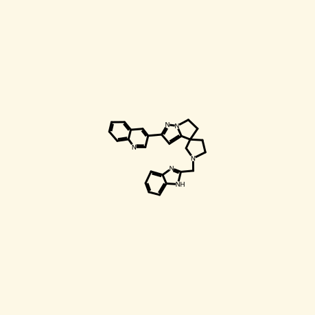 c1ccc2ncc(-c3cc4n(n3)CCC43CCN(Cc4nc5ccccc5[nH]4)C3)cc2c1